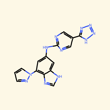 c1cnn(-c2cc(Nc3ncc(-c4nnn[nH]4)cn3)cc3[nH]cnc23)c1